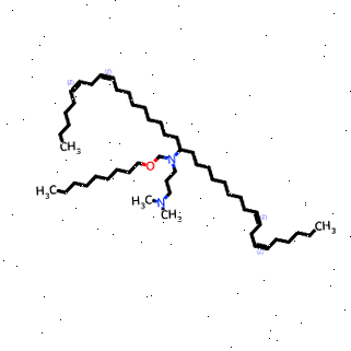 CCCCC/C=C\C/C=C\CCCCCCCCC(CCCCCCCC/C=C\C/C=C\CCCCC)N(CCCN(C)C)COCCCCCCCCC